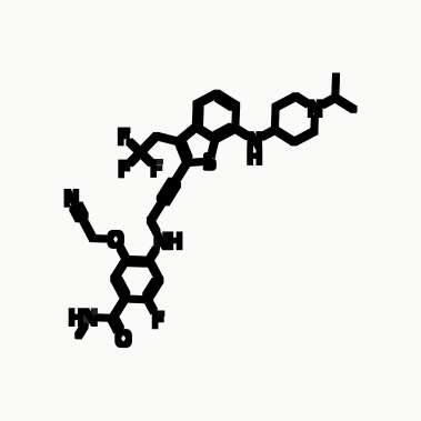 CNC(=O)c1cc(OCC#N)c(NCC#Cc2sc3c(NC4CCN(C(C)C)CC4)cccc3c2CC(F)(F)F)cc1F